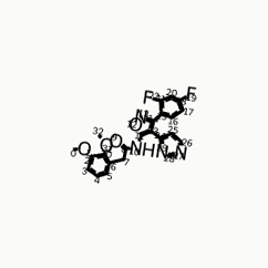 COc1cccc(CC(=O)Nc2onc(-c3ccc(F)cc3F)c2-c2ccncn2)c1OC